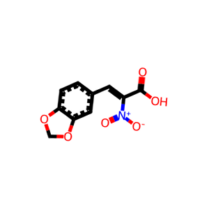 O=C(O)C(=Cc1ccc2c(c1)OCO2)[N+](=O)[O-]